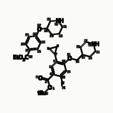 CC(C)(C)OC(=O)c1cc(C2CC2)c(OCC2CCNCC2)cc1F.CCOC(=O)c1ccc(OC2CCCNC2)cc1